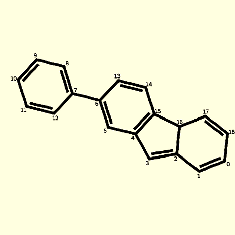 C1=CC2=Cc3cc(-c4ccccc4)ccc3C2C=C1